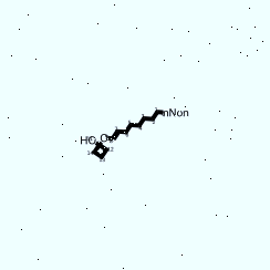 CCCCCCCCCCCCCCCC=COC1(O)CCC1